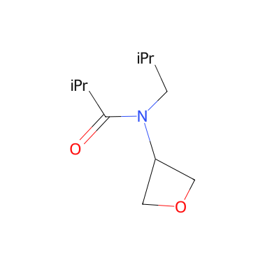 CC(C)CN(C(=O)C(C)C)C1COC1